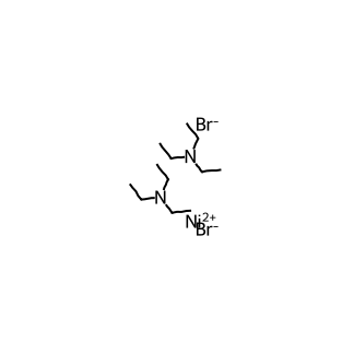 CCN(CC)CC.CCN(CC)CC.[Br-].[Br-].[Ni+2]